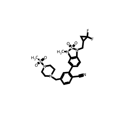 CN1c2cc(-c3cc(CN4CCN(S(C)(=O)=O)CC4)ccc3C#N)ccc2N(CC2CC2(F)F)S1(=O)=O